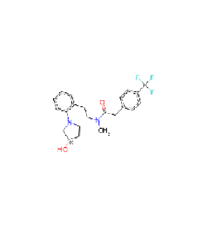 CN(CCc1ccccc1N1CC[C@H](O)C1)C(=O)Cc1ccc(C(F)(F)F)cc1